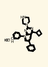 Cl.Cl.[Cl-].c1ccc(-c2cc3c(C4CCC4)nc(N4CCNCC4)nc3[n+](-c3ccccc3)c2)cc1